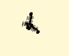 CCOC(CN(Cc1ccc2ccccc2c1)C(=O)[C@H](Cc1ccc(OC(=O)CCNC(=O)NCc2ccccc2)cc1)NC(=O)CCNC(=O)NCc1ccccc1)OCC